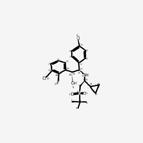 CC(C)(C)S(=O)(=O)C[C@@H](N[C@H](c1ccc(Cl)cc1)[C@H](O)c1cccc(Cl)c1F)C1CC1